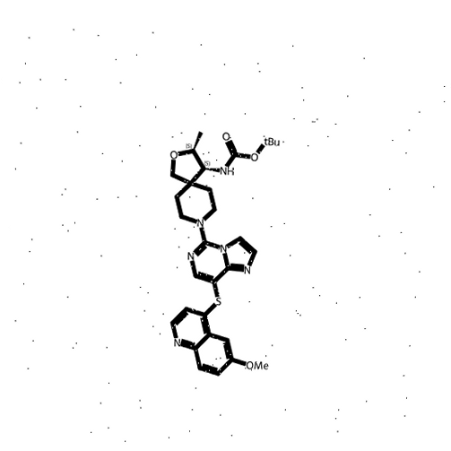 COc1ccc2nccc(Sc3cnc(N4CCC5(CC4)CO[C@@H](C)[C@H]5NC(=O)OC(C)(C)C)n4ccnc34)c2c1